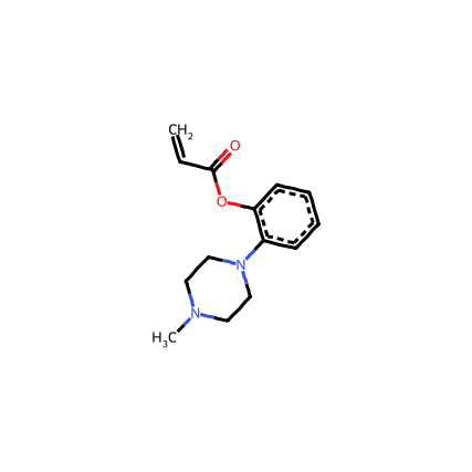 C=CC(=O)Oc1ccccc1N1CCN(C)CC1